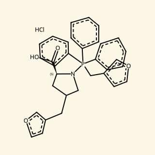 Cl.O=C(O)[C@@H]1CC(Cc2ccoc2)CN1P(Cc1ccoc1)(c1ccccc1)(c1ccccc1)c1ccccc1